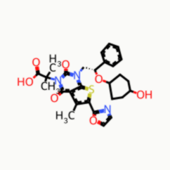 Cc1c(-c2ncco2)sc2c1c(=O)n(C(C)(C)C(=O)O)c(=O)n2C[C@@H](OC1CCC(O)CC1)c1ccccc1